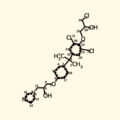 CC(C)(c1ccc(OCC(O)Cn2ccnc2)cc1)c1cc(Cl)c(OCC(O)CCl)c(Cl)c1